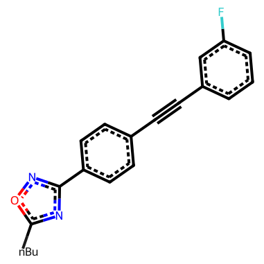 CCCCc1nc(-c2ccc(C#Cc3cccc(F)c3)cc2)no1